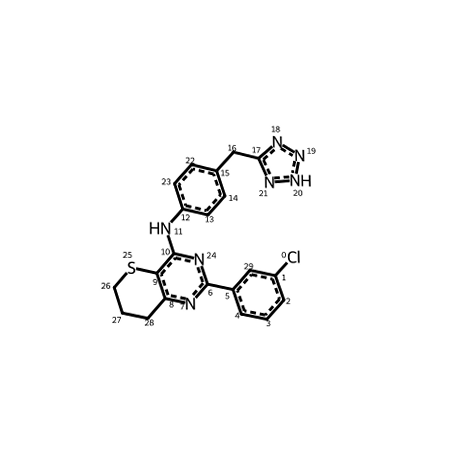 Clc1cccc(-c2nc3c(c(Nc4ccc(Cc5nn[nH]n5)cc4)n2)SCCC3)c1